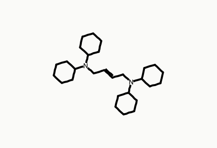 C(=CCN(C1CCCCC1)C1CCCCC1)CN(C1CCCCC1)C1CCCCC1